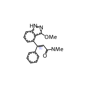 CNC(=O)/C=C(\c1ccccc1)c1cccc2[nH]nc(OC)c12